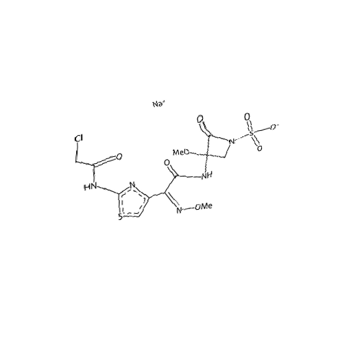 CO/N=C(\C(=O)NC1(OC)CN(S(=O)(=O)[O-])C1=O)c1csc(NC(=O)CCl)n1.[Na+]